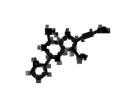 CCCCC#Cc1nc2c(N)nc(-c3ccco3)nc2n1CCC